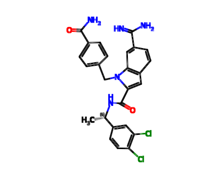 C[C@H](NC(=O)c1cc2ccc(C(=N)N)cc2n1Cc1ccc(C(N)=O)cc1)c1ccc(Cl)c(Cl)c1